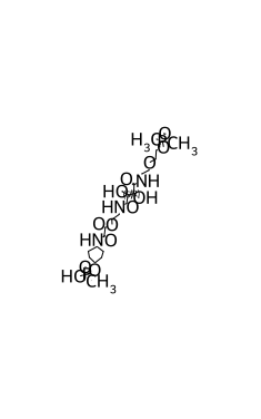 CP(C)(=O)OCCOCCNC(=O)[C@H](O)[C@H](O)C(=O)NCCOC(=O)C(=O)NC1CCC(OP(C)(=O)O)CC1